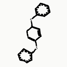 C1=CC(Sc2ccccc2)=CC[C]1Sc1ccccc1